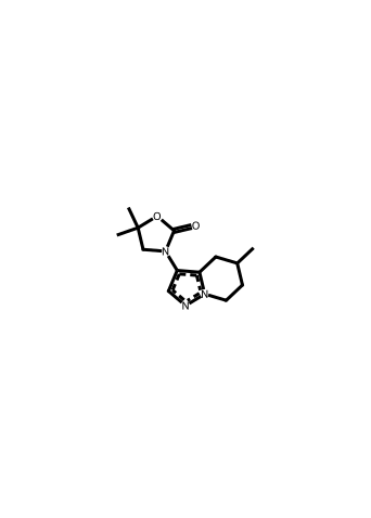 CC1CCn2ncc(N3CC(C)(C)OC3=O)c2C1